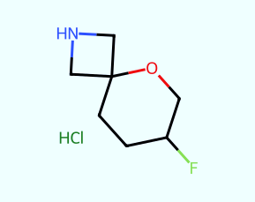 Cl.FC1CCC2(CNC2)OC1